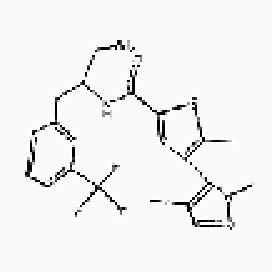 Cc1cnn(C)c1-c1cc(C(=O)NC(CN)Cc2cccc(C(F)(F)F)c2)sc1C